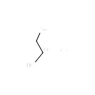 Cl.OCCO.[Cu]